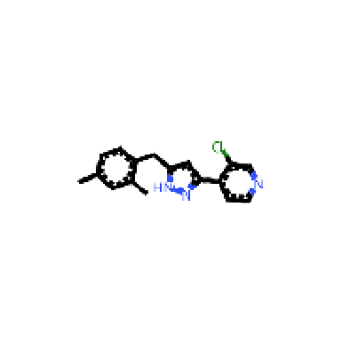 Cc1ccc(Cc2cc(-c3ccncc3Cl)n[nH]2)c(C)c1